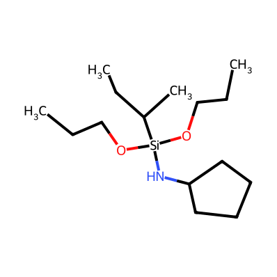 CCCO[Si](NC1CCCC1)(OCCC)C(C)CC